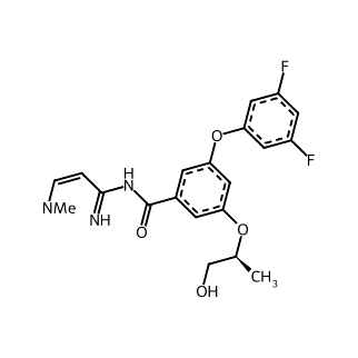 CN/C=C\C(=N)NC(=O)c1cc(Oc2cc(F)cc(F)c2)cc(O[C@@H](C)CO)c1